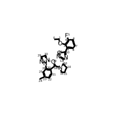 CCOc1c(F)cccc1-c1nc([C@@H]2CCCN2C(=O)c2ccc(C)cc2-n2nccn2)no1